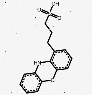 O=S(=O)(O)CCCc1cccc2c1Nc1ccccc1O2